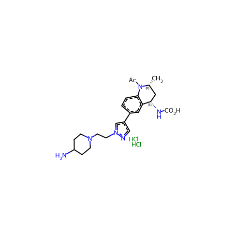 CC(=O)N1c2ccc(-c3cnn(CCN4CCC(N)CC4)c3)cc2[C@@H](NC(=O)O)C[C@H]1C.Cl.Cl